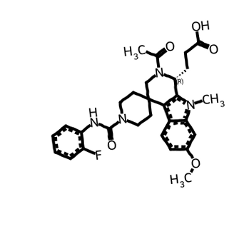 COc1ccc2c3c(n(C)c2c1)[C@@H](CCC(=O)O)N(C(C)=O)CC31CCN(C(=O)Nc2ccccc2F)CC1